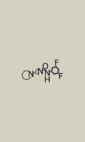 O=C(Nc1cc(F)cc(F)c1)N1CC(N2CCCCCC2)C1